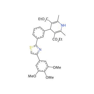 CCOC(=O)C1=C(C)NC(C)=C(C(=O)OCC)C1c1cccc(-c2nc(-c3cc(OC)c(OC)c(OC)c3)cs2)c1